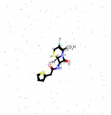 O=C(Cc1cccs1)NC1C(=O)N2C(C(=O)O)=C(F)CS[C@@H]12